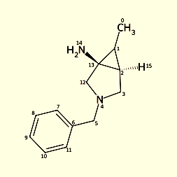 CC1[C@H]2CN(Cc3ccccc3)C[C@]12N